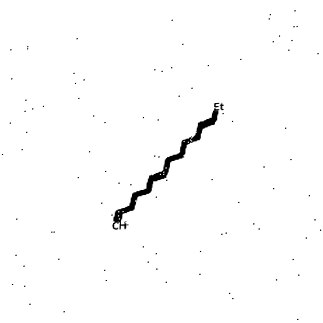 [CH]=CCCCC=CCCCCC=CCC